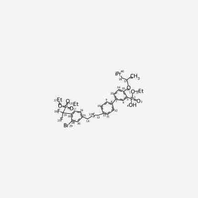 CCOP(=O)(O)c1cc(-c2ccc(CSCc3ccc(C(F)(F)P(=O)(OCC)OCC)c(Br)c3)cc2)ccc1OC(C)CC(C)C